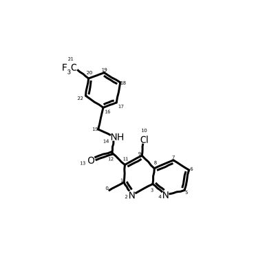 Cc1nc2ncccc2c(Cl)c1C(=O)NCc1cccc(C(F)(F)F)c1